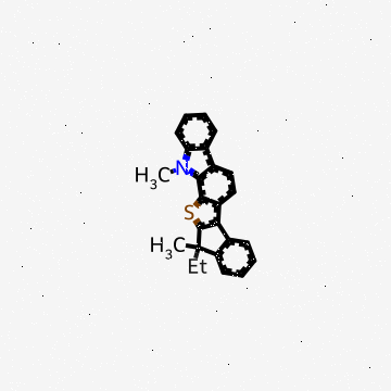 CCC1(C)c2ccccc2-c2c1sc1c2ccc2c3ccccc3n(C)c21